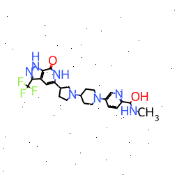 CNC(O)c1ccc(N2CCC(N3CCC(c4cc5c(C(F)(F)F)n[nH]c5c(=O)[nH]4)C3)CC2)cn1